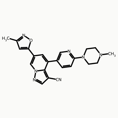 Cc1cc(-c2cc(-c3ccc(N4CCN(C)CC4)nc3)c3c(C#N)cnn3c2)on1